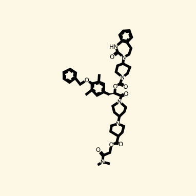 Cc1cc(C[C@@H](OC(=O)N2CCC(N3CCc4ccccc4NC3=O)CC2)C(=O)N2CCC(N3CCC(C(=O)OCC(=O)N(C)C)CC3)CC2)cc(C)c1OCc1ccccc1